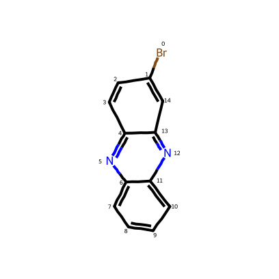 Brc1ccc2nc3ccccc3nc2c1